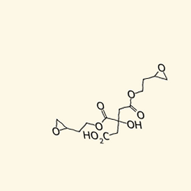 O=C(O)CC(O)(CC(=O)OCCC1CO1)C(=O)OCCC1CO1